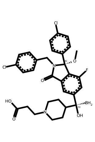 B[C@@](O)(c1cc(F)c2c(c1)C(=O)N(Cc1ccc(Cl)cc1)[C@@]2(OC)c1ccc(Cl)cc1)C1CCN(CCC(=O)O)CC1